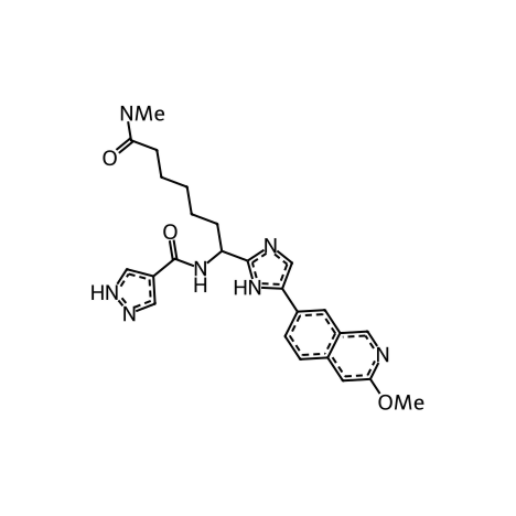 CNC(=O)CCCCCC(NC(=O)c1cn[nH]c1)c1ncc(-c2ccc3cc(OC)ncc3c2)[nH]1